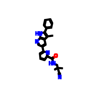 Cc1c(-c2ccccc2)[nH]c2ncc(-c3cccc(C(=O)NCC(C)(C)C#N)n3)cc12